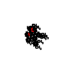 Cc1cc(C)c(-c2cc3c4c(c2)N(c2ccccc2-c2ccccc2)c2ccc5c(sc6ccccc65)c2B4N(c2ccc(C(C)(C)C)cc2)c2ccc(C(C)(C)C)cc2-3)c(C)c1